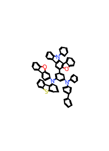 c1ccc(-c2ccc(N(c3ccccc3)c3cc(-c4cc5c6ccccc6n(-c6ccccc6)c5c5c4oc4ccccc45)cc(N(c4ccc5c(c4)oc4ccccc45)c4cccc5sc6ccccc6c45)c3)cc2)cc1